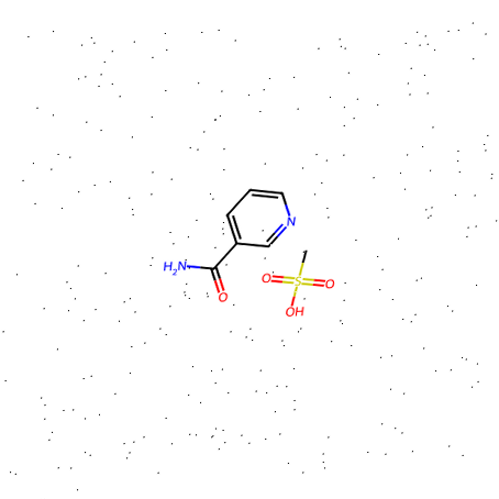 CS(=O)(=O)O.NC(=O)c1cccnc1